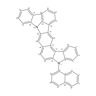 c1ccc2c(-n3c4ccccc4c4c5cc6c7cccc8c9ccccc9n(c6cc5ccc43)c87)cccc2c1